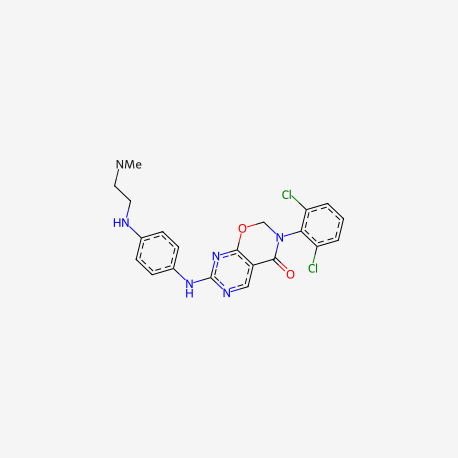 CNCCNc1ccc(Nc2ncc3c(n2)OCN(c2c(Cl)cccc2Cl)C3=O)cc1